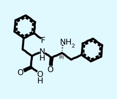 N[C@H](Cc1ccccc1)C(=O)NC(Cc1ccccc1F)C(=O)O